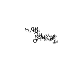 Cn1cc(-c2nc(Cl)cc(N3CC4(CCN(C(=O)C5CC5)CC4)C3)n2)cn1